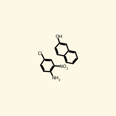 Nc1ccc(Cl)cc1[N+](=O)[O-].Oc1ccc2ccccc2c1